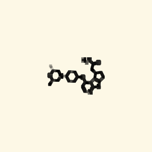 C[C@@H]1CN([C@H]2CC[C@H](Oc3ccnc4sc5c(c34)[C@@H](CC(N)=O)CC5)CC2)C[C@@H](C)O1